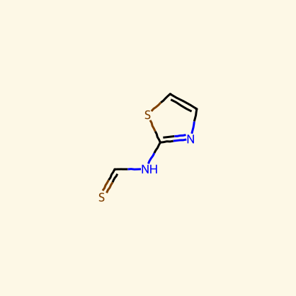 S=CNc1nccs1